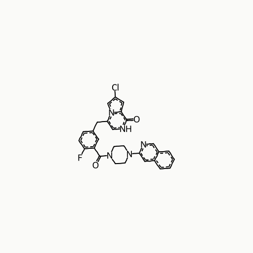 O=C(c1cc(Cc2c[nH]c(=O)c3cc(Cl)cn23)ccc1F)N1CCN(c2cc3ccccc3cn2)CC1